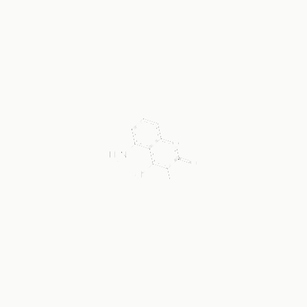 Nc1cccc2oc(=O)c(Cl)c(Cl)c12